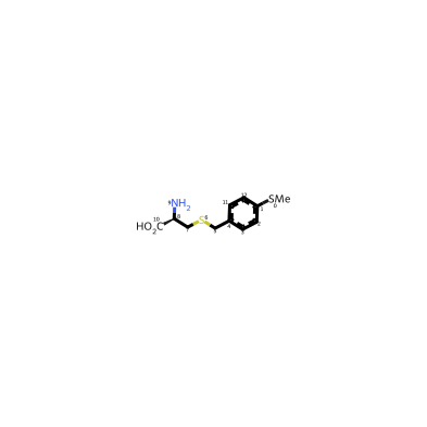 CSc1ccc(CSC[C@H](N)C(=O)O)cc1